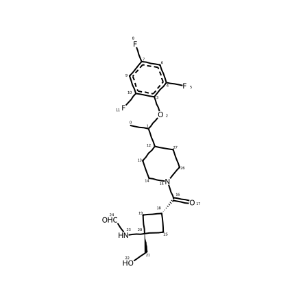 CC(Oc1c(F)cc(F)cc1F)C1CCN(C(=O)[C@H]2C[C@@](CO)(NC=O)C2)CC1